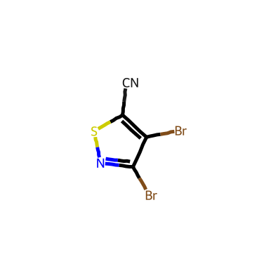 N#Cc1snc(Br)c1Br